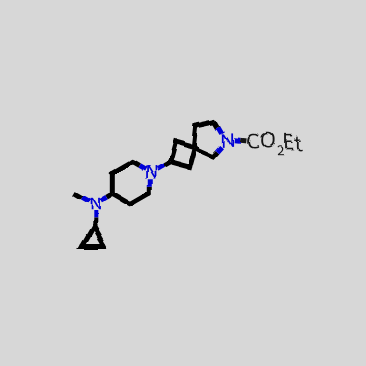 CCOC(=O)N1CCC2(CC(N3CCC(N(C)C4CC4)CC3)C2)C1